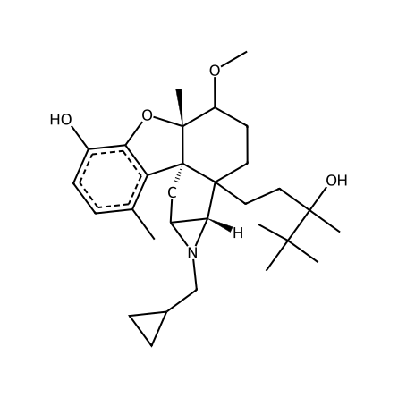 COC1CCC2(CCC(C)(O)C(C)(C)C)[C@H]3C(C[C@@]24c2c(C)ccc(O)c2O[C@]14C)N3CC1CC1